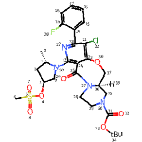 C[C@H]1C[C@H](OS(C)(=O)=O)CN1c1nc(-c2ccccc2F)c(Cl)c2c1C(=O)N1CCN(C(=O)OC(C)(C)C)C[C@@H]1CO2